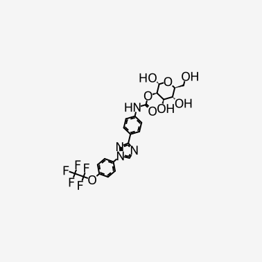 O=C(Nc1ccc(-c2ncn(-c3ccc(OC(F)(F)C(F)(F)F)cc3)n2)cc1)O[C@@H]1[C@H](O)[C@@H](O)[C@H](CO)O[C@H]1O